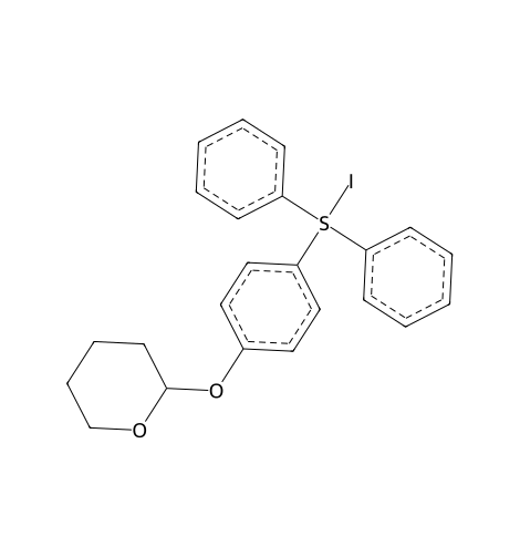 IS(c1ccccc1)(c1ccccc1)c1ccc(OC2CCCCO2)cc1